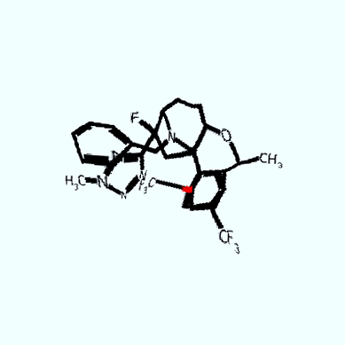 CC(OC1CCC2N(Cc3ccccc3)C1(c1ccccc1)CC2(F)c1nnn(C)n1)c1cc(C(F)(F)F)cc(C(F)(F)F)c1